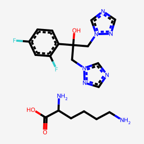 NCCCCC(N)C(=O)O.OC(Cn1cncn1)(Cn1cncn1)c1ccc(F)cc1F